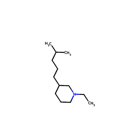 CCN1CCCC(CCCC(C)C)C1